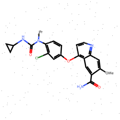 COc1cc2nccc(Oc3ccc(N(C(=O)NC4CC4)C(C)C)c(Cl)c3)c2cc1C(N)=O